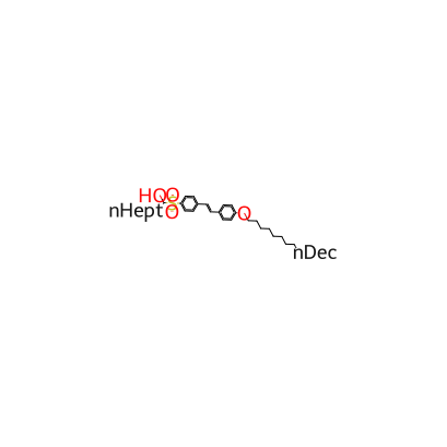 CCCCCCCCCCCCCCCCCCOc1ccc(C=Cc2ccc(S(=O)(=O)C(O)CCCCCCC)cc2)cc1